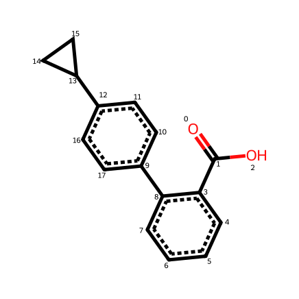 O=C(O)c1ccccc1-c1ccc(C2CC2)cc1